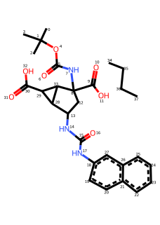 CC(C)(C)OC(=O)NC1(C(=O)O)CC(NC(=O)Nc2ccc3ccccc3c2)C2C(C(=O)O)C21.CCCC